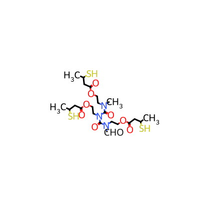 CC(S)CC(=O)OCCN(C)C(=O)N(CCOC(=O)CC(C)S)C(=O)N(C=O)CCOC(=O)CC(C)S